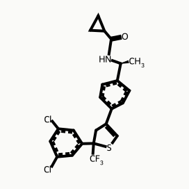 C[C@H](NC(=O)C1CC1)c1ccc(C2=CSC(c3cc(Cl)cc(Cl)c3)(C(F)(F)F)C2)cc1